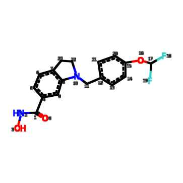 O=C(NO)c1ccc2c(c1)N(Cc1ccc(OC(F)F)cc1)CC2